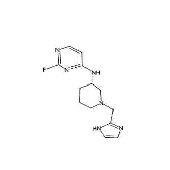 Fc1nccc(N[C@H]2CCCN(Cc3ncc[nH]3)C2)n1